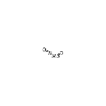 [O]=[Al][Mo]=[O]